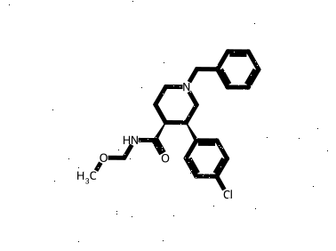 COCNC(=O)[C@H]1CCN(Cc2ccccc2)C[C@H]1c1ccc(Cl)cc1